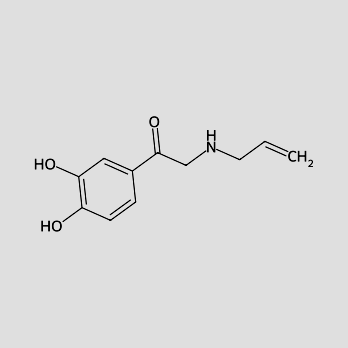 C=CCNCC(=O)c1ccc(O)c(O)c1